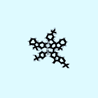 C=C1c2cc(C(C)(C)C)ccc2-c2cc(-c3c4c(c5c6cc(C(C)(C)C)ccc6n6c5c3Bc3cc5c(cc3-6)-c3ccccc3C5(C)C)-c3ccccc3C4(C)C)c(Nc3ccc(C(C)(C)C)cc3)cc21